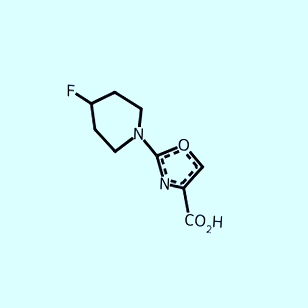 O=C(O)c1coc(N2CCC(F)CC2)n1